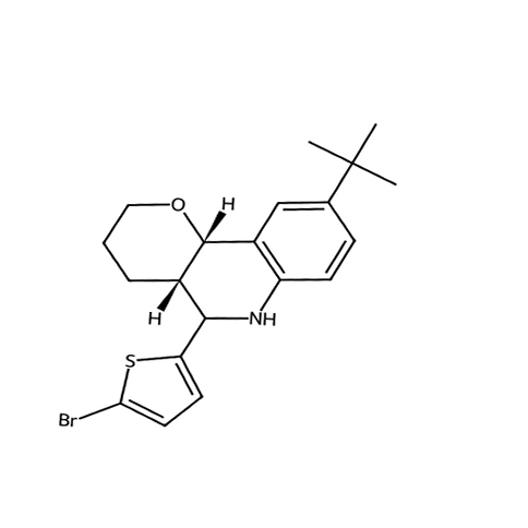 CC(C)(C)c1ccc2c(c1)[C@H]1OCCC[C@H]1C(c1ccc(Br)s1)N2